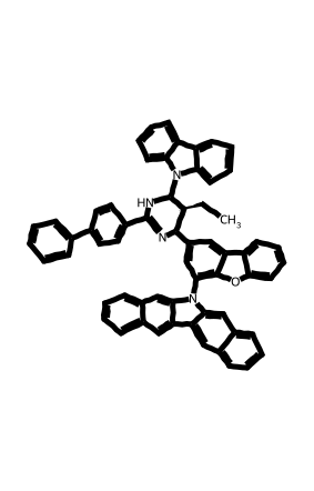 CC[C@H]1C(c2cc(-n3c4cc5ccccc5cc4c4cc5ccccc5cc43)c3oc4ccccc4c3c2)N=C(c2ccc(-c3ccccc3)cc2)NC1n1c2ccccc2c2ccccc21